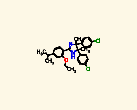 CCOc1cc(C(C)C)ccc1C1=NC(C)(c2ccc(Cl)cc2)C(C)(c2ccc(Cl)cc2)N1